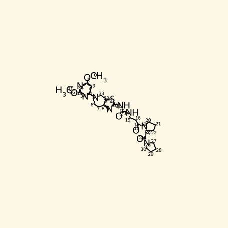 COc1cc(N2CCc3nc(NC(=O)NCCC(=O)N4CCC[C@H]4C(=O)N4CCCC4)sc3C2)nc(OC)n1